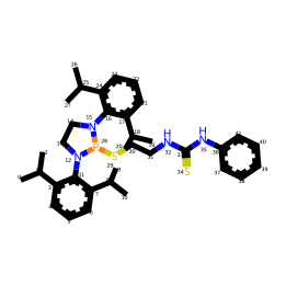 CC(C)c1cccc(C(C)C)c1N1CCN(c2c(C(C)C)cccc2C(C)C)P1SCCNC(=S)Nc1ccccc1